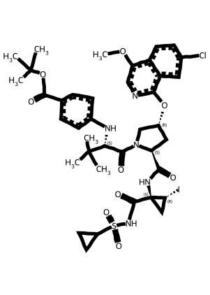 COc1cnc(O[C@@H]2C[C@@H](C(=O)N[C@]3(C(=O)NS(=O)(=O)C4CC4)C[C@H]3I)N(C(=O)[C@@H](Nc3ccc(C(=O)OC(C)(C)C)cc3)C(C)(C)C)C2)c2cc(Cl)ccc12